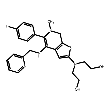 CN1Cc2sc(N(CCO)CCO)cc2C(NCc2ccccn2)=C1c1ccc(F)cc1